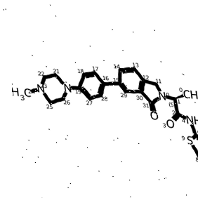 C[C@@H](C(=O)Nc1nccs1)N1Cc2ccc(-c3ccc(N4CCN(C)CC4)cc3)cc2C1=O